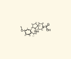 COc1ccc([C@@H](C)NC2CCCC23CCN(C(=O)O)CC3)cc1